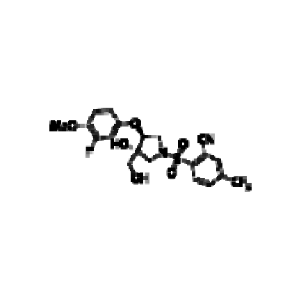 COc1ccc(O[C@H]2CN(S(=O)(=O)c3ccc(C(F)(F)F)cc3C#N)C[C@@]2(O)CO)cc1F